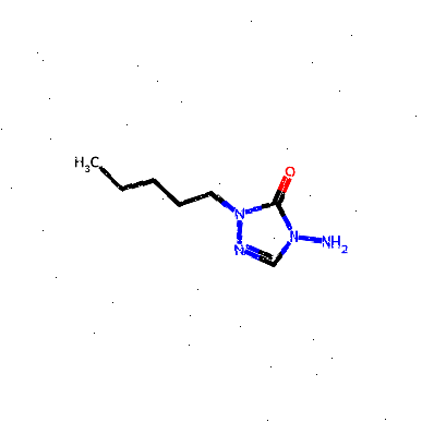 CCCCCn1ncn(N)c1=O